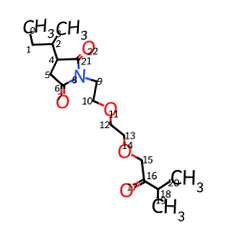 CCC(C)C1CC(=O)N(CCOCCOCC(=O)C(C)C)C1=O